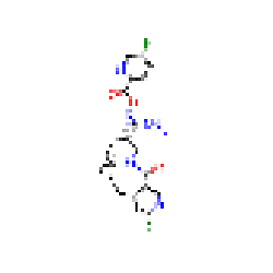 N/C(=N\OC(=O)c1ccc(F)cn1)[C@H]1CC[C@H]2CCc3cc(F)ncc3C(=O)N2C1